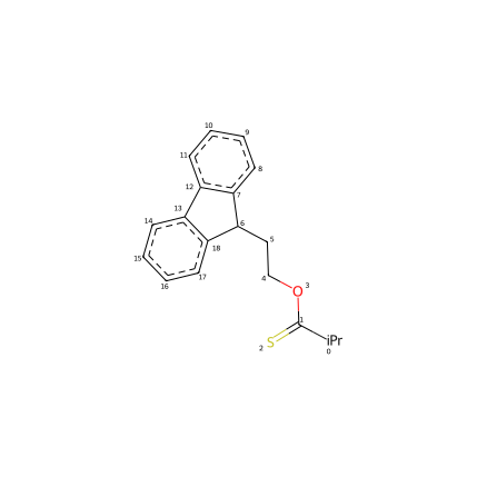 CC(C)C(=S)OCCC1c2ccccc2-c2ccccc21